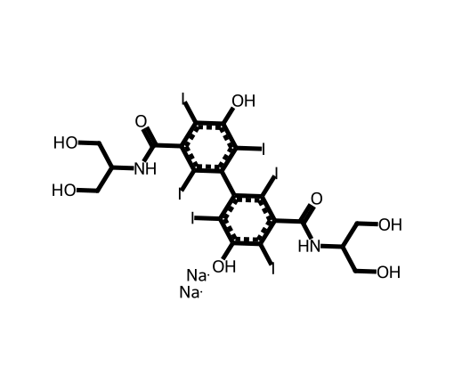 O=C(NC(CO)CO)c1c(I)c(O)c(I)c(-c2c(I)c(O)c(I)c(C(=O)NC(CO)CO)c2I)c1I.[Na].[Na]